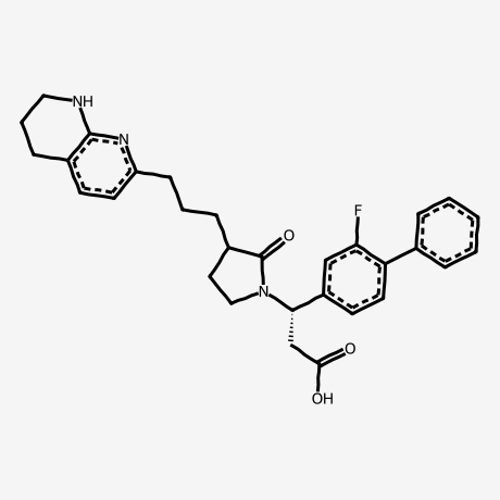 O=C(O)C[C@@H](c1ccc(-c2ccccc2)c(F)c1)N1CCC(CCCc2ccc3c(n2)NCCC3)C1=O